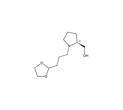 OC[C@@H]1CCCN1CCCC1OCCO1